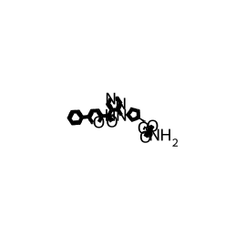 NS(=O)(=O)OC[C@@H]1CC[C@H](Nc2ncncc2C(=O)C2=CC=C(c3ccccc3)CO2)C1